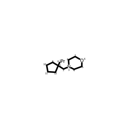 CC(C)C1(CN2CCOCC2)CCCC1